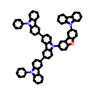 c1ccc(-n2c3ccccc3c3cc(-c4ccc5c(c4)c4cc(-c6ccc7c(c6)c6ccccc6n7-c6ccccc6)ccc4n5-c4ccc5oc6ccc(-n7c8ccccc8c8ccccc87)cc6c5c4)ccc32)cc1